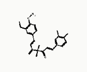 C=C(/C=C/c1ccc(OP)c(CC)c1)C(C)(C)C(=O)/C=C/c1ccc(C)c(C)c1